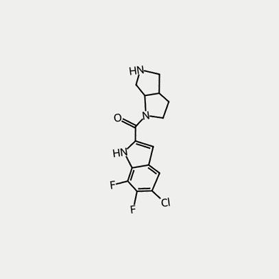 O=C(c1cc2cc(Cl)c(F)c(F)c2[nH]1)N1CCC2CNCC21